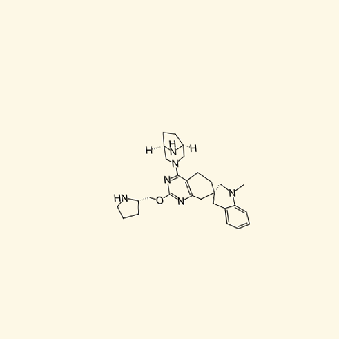 CN1C[C@]2(CCc3c(nc(OC[C@@H]4CCCN4)nc3N3C[C@H]4CC[C@@H](C3)N4)C2)Cc2ccccc21